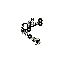 CN(C)S(=O)(=O)N1CCN(c2ccc(OCc3nn(C)c4c3-c3cccc5c(CCCOc6cccc7ccccc67)c(C(=O)O)n(c35)CCCCOC4)cc2)CC1